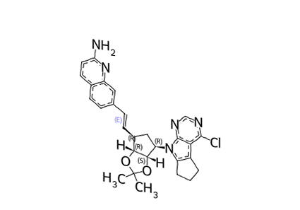 CC1(C)O[C@@H]2[C@H](O1)[C@@H](/C=C/c1ccc3ccc(N)nc3c1)C[C@H]2n1c2c(c3c(Cl)ncnc31)CCC2